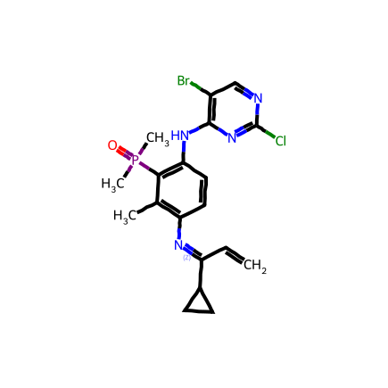 C=C/C(=N\c1ccc(Nc2nc(Cl)ncc2Br)c(P(C)(C)=O)c1C)C1CC1